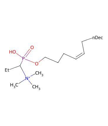 CCCCCCCCCCC/C=C\CCCOP(=O)(O)C(CC)[N+](C)(C)C